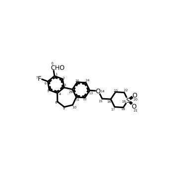 O=Cc1cc2c(cc1F)CCCc1cc(OCC3CCS(=O)(=O)CC3)ccc1-2